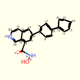 O=C(NO)c1cc(-c2ccc(-c3ccccc3)cc2)cc2ccncc12